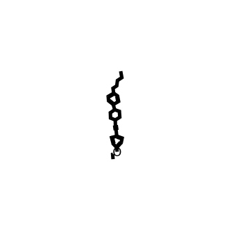 CCCCCc1ccc(C2CCC(C#Cc3ccc(OCC)cc3)CC2)cc1